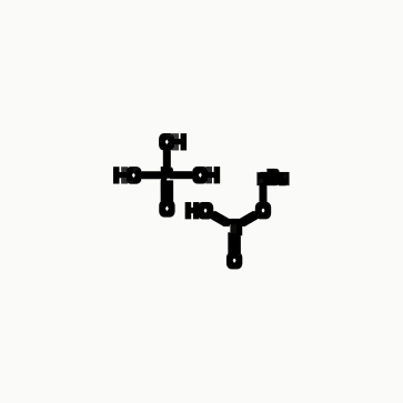 CCCC[O][Ti](=[O])[OH].O=P(O)(O)O